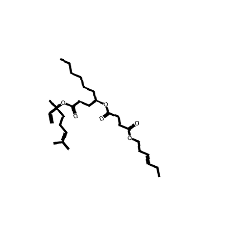 C=CC(C)(CCC=C(C)C)OC(=O)CCC(CCCCCC)OC(=O)CCC(=O)OCC/C=C/CC